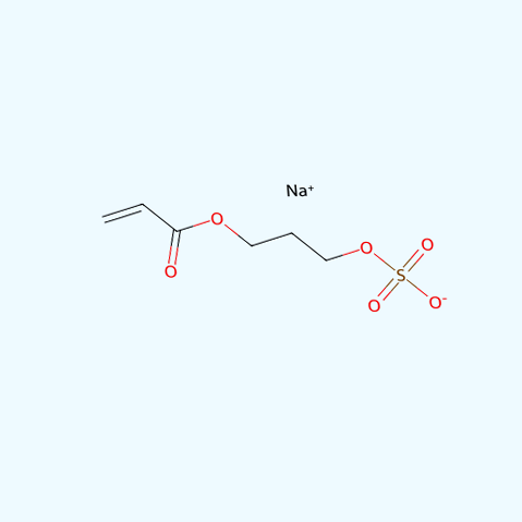 C=CC(=O)OCCCOS(=O)(=O)[O-].[Na+]